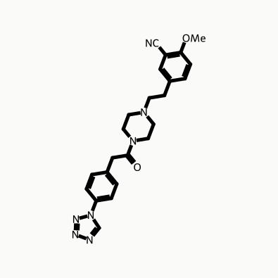 COc1ccc(CCN2CCN(C(=O)Cc3ccc(-n4cnnn4)cc3)CC2)cc1C#N